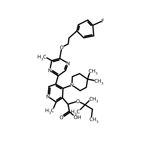 CCC(C)(C)OC(C(=O)O)c1c(C)ncc(-c2cnc(OCCc3ccc(F)cc3)c(C)n2)c1N1CCC(C)(C)CC1